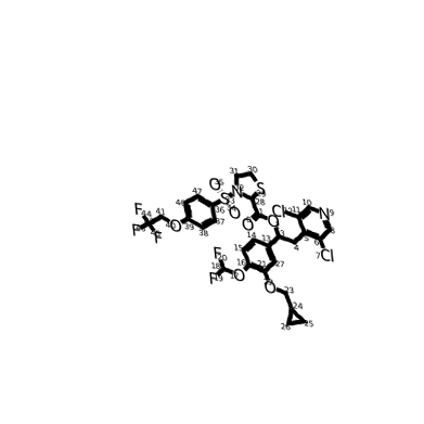 O=C(OC(Cc1c(Cl)cncc1Cl)c1ccc(OC(F)F)c(OCC2CC2)c1)C1SCCN1S(=O)(=O)c1ccc(OCC(F)(F)F)cc1